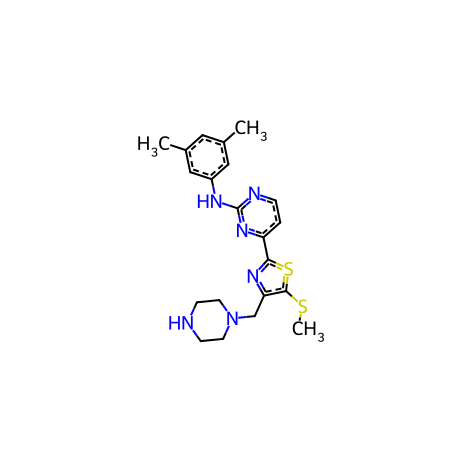 CSc1sc(-c2ccnc(Nc3cc(C)cc(C)c3)n2)nc1CN1CCNCC1